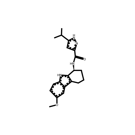 COc1ccc2[nH]c3c(c2c1)CCC[C@@H]3NC(=O)c1cc(C(C)C)[nH]n1